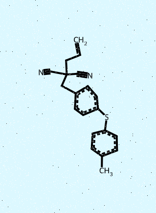 C=CCC(C#N)(C#N)Cc1ccc(Sc2ccc(C)cc2)cc1